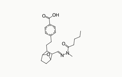 CCCCC(=O)N(C)N=CC1C2CCC(O2)C1CCc1ccc(C(=O)O)cc1